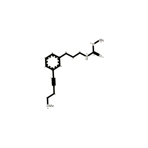 COCCC#Cc1cccc(CCCNC(=O)OC(C)(C)C)c1